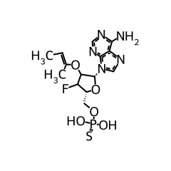 C/C=C(\C)OC1C(F)[C@@H](COP(O)(O)=S)O[C@H]1n1cnc2c(N)ncnc21